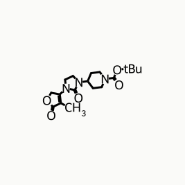 CC1=C(N2CCN(C3CCN(C(=O)OC(C)(C)C)CC3)C2=O)COC1=O